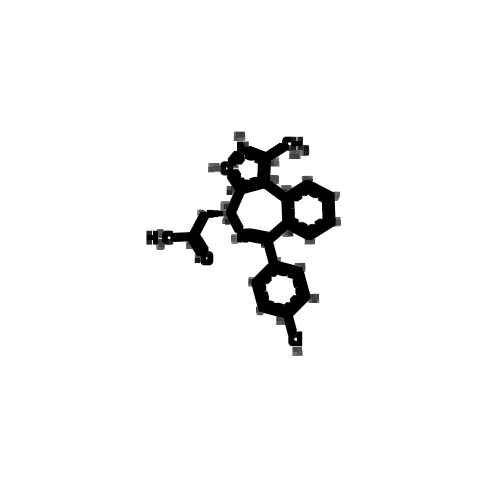 CC(=O)C[C@H]1N=C(c2ccc(Cl)cc2)c2ccccc2-c2c(C)noc21